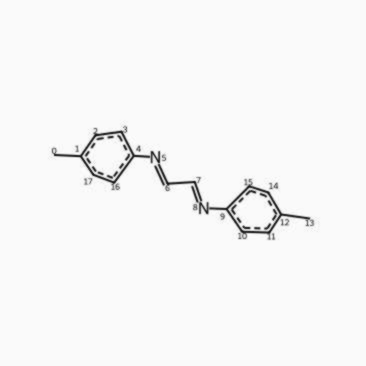 Cc1ccc(/N=C/C=N/c2ccc(C)cc2)cc1